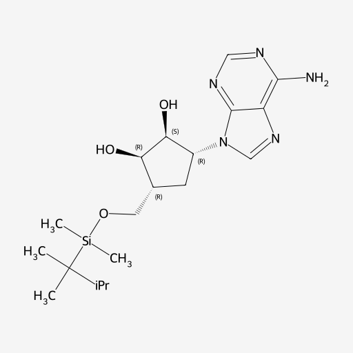 CC(C)C(C)(C)[Si](C)(C)OC[C@H]1C[C@@H](n2cnc3c(N)ncnc32)[C@H](O)[C@@H]1O